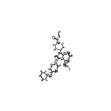 C=CC(=O)N1CCC(n2nc(-c3ccc(Oc4ccccc4)nc3)c3c(N)ncnc32)CC1